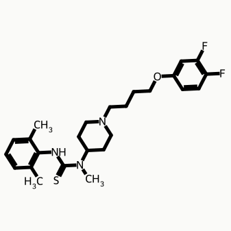 Cc1cccc(C)c1NC(=S)N(C)C1CCN(CCCCOc2ccc(F)c(F)c2)CC1